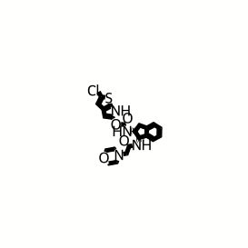 O=C(CN1CCOCC1)N[C@@H]1c2ccccc2C[C@H]1NC(=O)Oc1cc2cc(Cl)sc2[nH]1